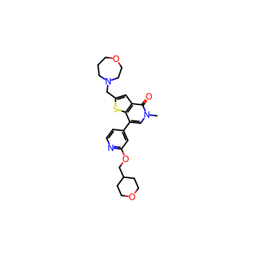 Cn1cc(-c2ccnc(OCC3CCOCC3)c2)c2sc(CN3CCCOCC3)cc2c1=O